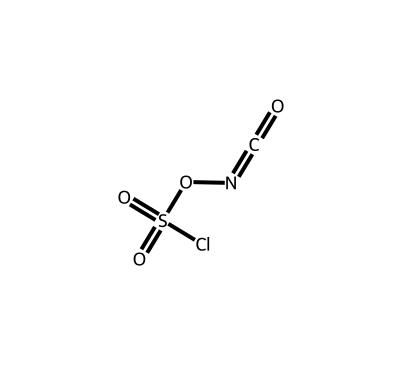 O=C=NOS(=O)(=O)Cl